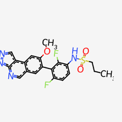 CCCS(=O)(=O)Nc1ccc(F)c(-c2cc3cnc4[nH]ncc4c3cc2OC)c1F